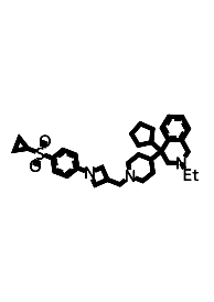 CCN1Cc2ccccc2C(C2CCCC2)(C2CCN(CC3CN(c4ccc(S(=O)(=O)C5CC5)cc4)C3)CC2)C1